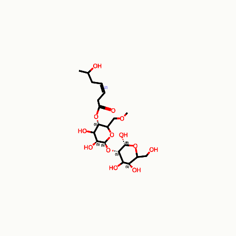 COCC1O[C@@H](O[C@H]2C(O)[C@H](O)C(CO)O[C@H]2O)[C@@H](O)C(O)[C@@H]1OC(=O)C/C=C\CC(C)O